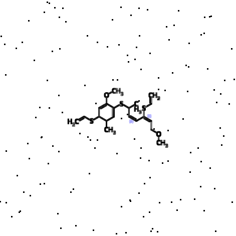 C=CSC(/C=C\C(C)SC1=CC(C)C(SC=C)C=C1OC)=C/COC